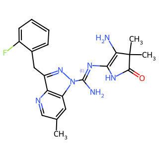 Cc1cnc2c(Cc3ccccc3F)nn(/C(N)=N/C3=C(N)C(C)(C)C(=O)N3)c2c1